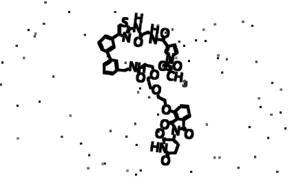 CS(=O)(=O)n1ccc(C(=O)NCC(=O)Nc2nc(-c3cccc(-c4cccc(CNC(=O)CCOCCOCCOc5cccc6c5C(=O)N(C5CCC(=O)NC5=O)C6=O)c4)c3)cs2)c1